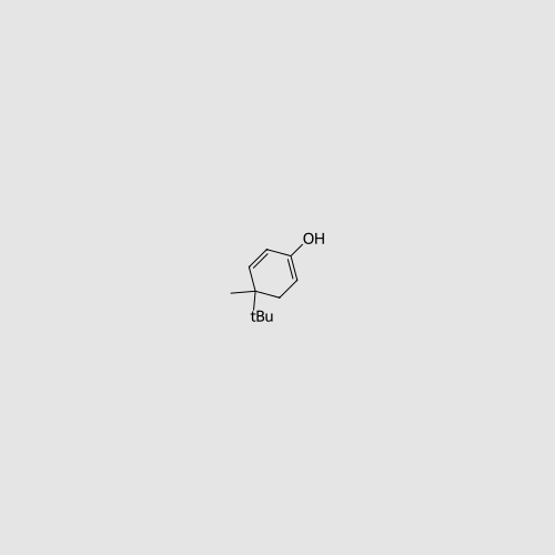 CC(C)(C)C1(C)C=CC(O)=CC1